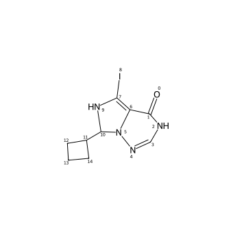 O=C1NC=NN2C1=C(I)NC2C1CCC1